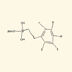 CO[Si](O)(O)CCc1c(F)c(F)c(F)c(F)c1F